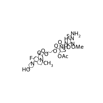 CO/N=C(\C(=O)NC1C(=O)N2C(C(=O)OCCCOC(=O)c3cn4c5c(c(N6CCC(O)CC6)c(F)cc5c3=O)CCC4C)=C(COC(C)=O)CS[C@H]12)c1csc(N)n1